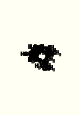 CC[C@H]1OC(=O)[C@H](C)[C@@H](O[C@H]2C[C@H](C)[C@@H](O)[C@H](C)O2)[C@H](C)[C@@H](O[C@@H]2O[C@H](C)C[C@H](N(C)CCc3cn([C@H](CF)[C@H](OC)c4ccc([S+]([O-])CCO)cc4)nn3)[C@H]2O)[C@](C)(O)C[C@@H](C)CN(C)[C@H](C)[C@@H](O)[C@]1(C)O